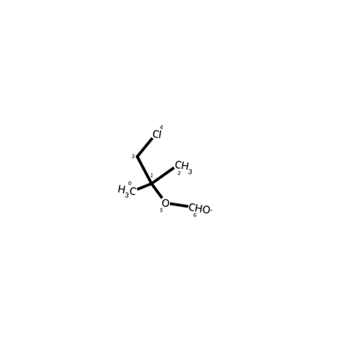 CC(C)(CCl)O[C]=O